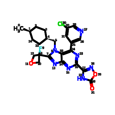 C[C@H]1CC[C@H](Cn2c(C3(F)COC3)nc3nc(-c4noc(=O)[nH]4)nc(-c4cncc(Cl)c4)c32)CC1